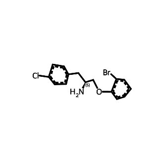 N[C@H](COc1ccccc1Br)Cc1ccc(Cl)cc1